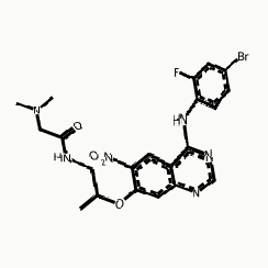 CC(CNC(=O)CN(C)C)Oc1cc2ncnc(Nc3ccc(Br)cc3F)c2cc1[N+](=O)[O-]